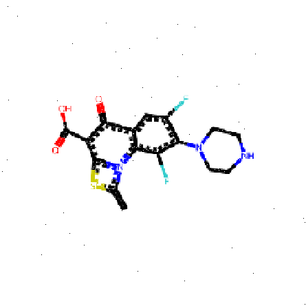 C=c1sc2c(C(=O)O)c(=O)c3cc(F)c(N4CCNCC4)c(F)c3n12